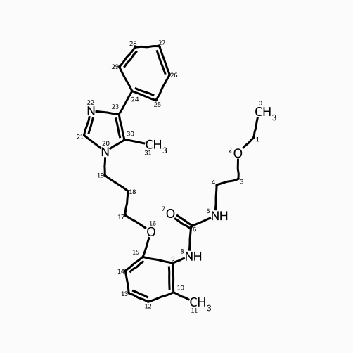 CCOCCNC(=O)Nc1c(C)cccc1OCCCn1cnc(-c2ccccc2)c1C